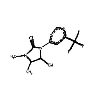 CC1C(O)N(c2cc(C(F)(F)F)ncn2)C(=O)N1C